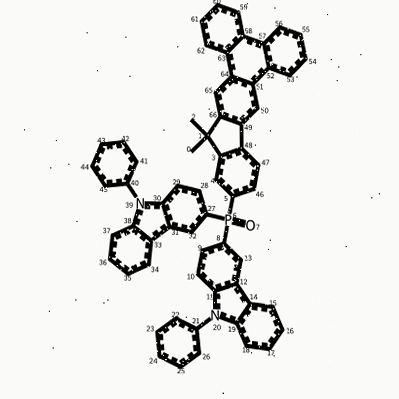 CC1(C)c2cc(P(=O)(c3ccc4c(c3)c3ccccc3n4-c3ccccc3)c3ccc4c(c3)c3ccccc3n4-c3ccccc3)ccc2-c2cc3c4ccccc4c4ccccc4c3cc21